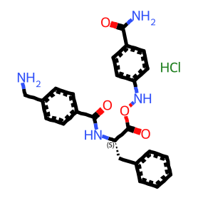 Cl.NCc1ccc(C(=O)N[C@@H](Cc2ccccc2)C(=O)ONc2ccc(C(N)=O)cc2)cc1